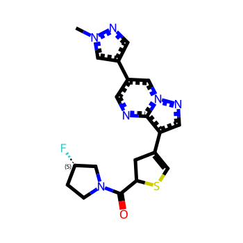 Cn1cc(-c2cnc3c(C4=CSC(C(=O)N5CC[C@H](F)C5)C4)cnn3c2)cn1